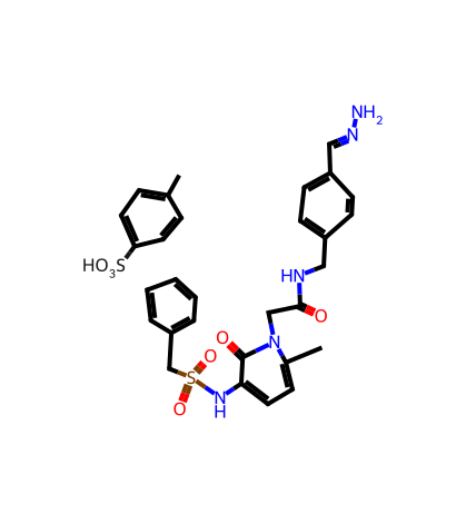 Cc1ccc(NS(=O)(=O)Cc2ccccc2)c(=O)n1CC(=O)NCc1ccc(C=NN)cc1.Cc1ccc(S(=O)(=O)O)cc1